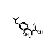 CC(C)Cc1ccc(C(C)C(=O)O)c(N)c1